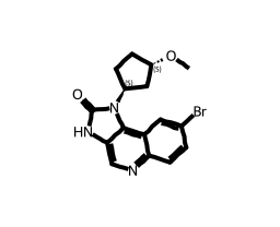 CO[C@H]1CC[C@H](n2c(=O)[nH]c3cnc4ccc(Br)cc4c32)C1